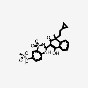 CC1(CCC2CC2)C(=O)C(C2=NS(=O)(=O)c3cc(NS(C)(=O)=O)ccc3N2)=C(O)c2ccccc21